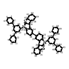 c1ccc(-c2cc(-c3ccccc3)cc(-n3c4ccc(-c5ccc6c(c5)c5c7ccccc7sc5n6-c5cc(-c6ccccc6)cc(-c6ccccc6)c5)cc4c4c5ccccc5sc43)c2)cc1